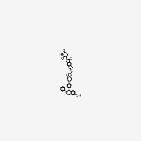 O=C1CCC(N2Cc3cc4c(cc3C2=O)CN(CC2COC3(CCN(c5ccc([C@@H]6c7ccc(O)cc7CC[C@@H]6c6ccccc6)cc5)CC3)C2)C4)C(=O)N1